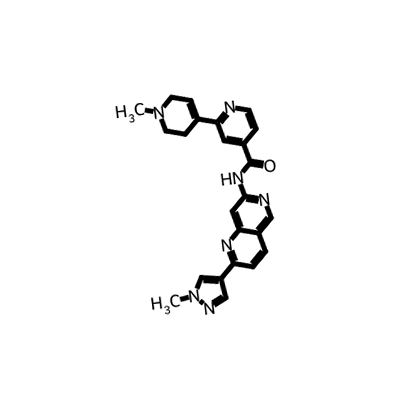 CN1CC=C(c2cc(C(=O)Nc3cc4nc(-c5cnn(C)c5)ccc4cn3)ccn2)CC1